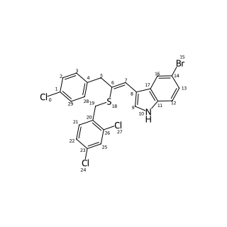 Clc1ccc(CC(=Cc2c[nH]c3ccc(Br)cc23)SCc2ccc(Cl)cc2Cl)cc1